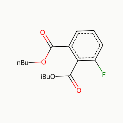 CCCCOC(=O)c1cccc(F)c1C(=O)OCC(C)C